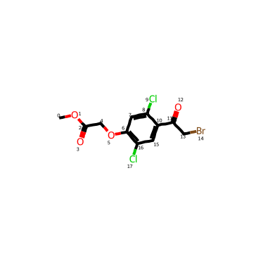 COC(=O)COc1cc(Cl)c(C(=O)CBr)cc1Cl